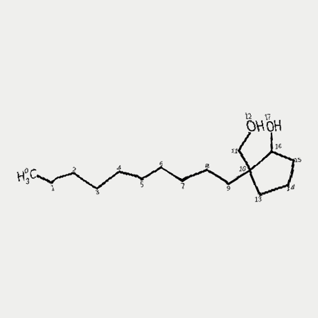 CCCCCCCCCCC1(CO)CCCC1O